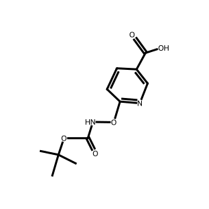 CC(C)(C)OC(=O)NOc1ccc(C(=O)O)cn1